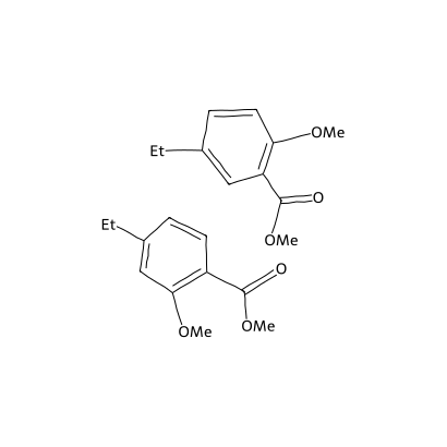 CCc1ccc(C(=O)OC)c(OC)c1.CCc1ccc(OC)c(C(=O)OC)c1